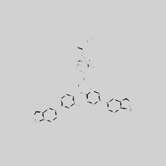 Cc1cc2c(cc1-c1ccc3[nH]ncc3c1)Oc1cc(-c3ccc4[nH]ncc4c3)cnc1N2CCN1C[C@@H]2C[C@H]1CN2C(=O)OC(C)(C)C